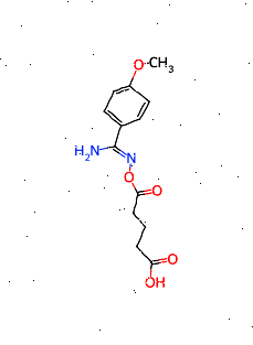 COc1ccc(/C(N)=N/OC(=O)CCCC(=O)O)cc1